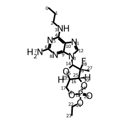 CCCNc1nc(N)nc2c1ncn2[C@@H]1O[C@@H]2COP(=O)(OCC)O[C@H]2[C@@]1(C)F